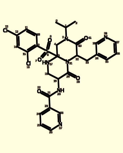 CC(C)N1CC2(S(=O)(=O)c3ccc(Cl)cc3Cl)NCC(NC(=O)c3cccnc3)C(=O)N2C(Cc2cccnc2)C1=O